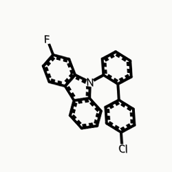 Fc1ccc2c3ccccc3n(-c3ccccc3-c3ccc(Cl)cc3)c2c1